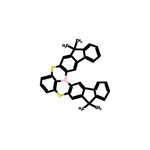 CC1(C)c2ccccc2-c2cc3c(cc21)Sc1cccc2c1B3c1cc3c(cc1S2)C(C)(C)c1ccccc1-3